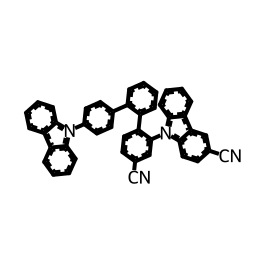 N#Cc1ccc(-c2ccccc2-c2ccc(-n3c4ccccc4c4ccccc43)cc2)c(-n2c3ccccc3c3cc(C#N)ccc32)c1